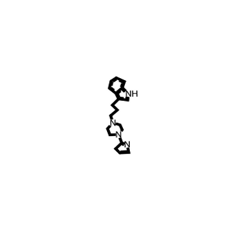 C1=CN=C(N2CCN(CCCc3c[nH]c4ccccc34)CC2)C1